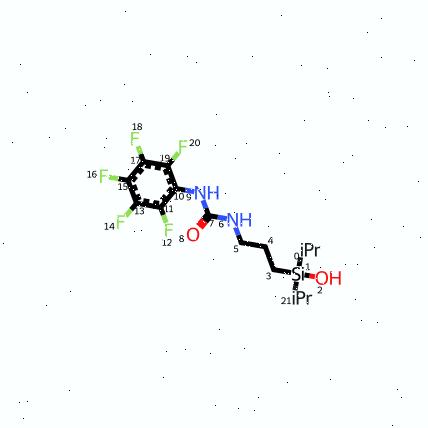 CC(C)[Si](O)(CCCNC(=O)Nc1c(F)c(F)c(F)c(F)c1F)C(C)C